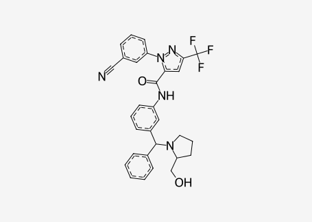 N#Cc1cccc(-n2nc(C(F)(F)F)cc2C(=O)Nc2cccc(C(c3ccccc3)N3CCCC3CO)c2)c1